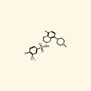 Cc1ccc(N2CCN(C)CC2)c2c1CC[C@@H](NS(=O)(=O)c1ccc(F)c(C(F)(F)F)c1)C2